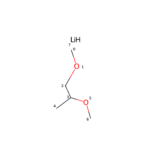 COCC(C)OC.[LiH]